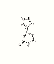 O=c1nc(-c2c[nH]nn2)cc[nH]1